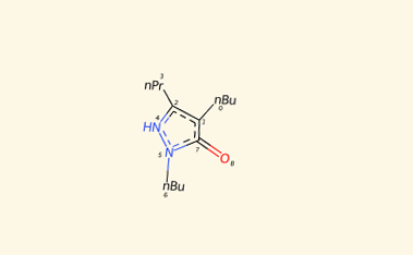 CCCCc1c(CCC)[nH]n(CCCC)c1=O